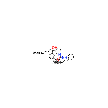 CNCC(CC1CCCCC1)NC(=O)N1CCCC(C(O)(CCCCOC)c2cccc(C(C)C)c2)C1